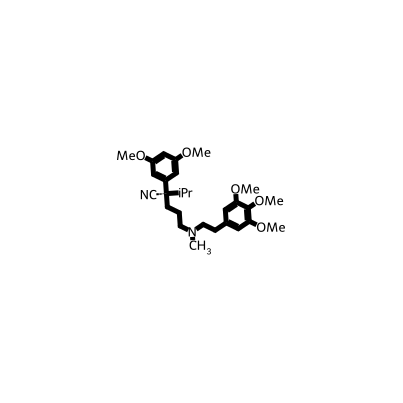 COc1cc(OC)cc([C@](C#N)(CCCN(C)CCc2cc(OC)c(OC)c(OC)c2)C(C)C)c1